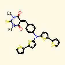 CCN1C(=O)C(=Cc2ccc(N(c3ccc(-c4cccs4)s3)c3ccc(-c4cccs4)s3)cc2)C(=O)N(CC)C1=S